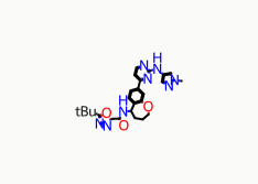 Cn1cc(Nc2nccc(-c3ccc4c(c3)OCCCC4NC(=O)c3nnc(C(C)(C)C)o3)n2)cn1